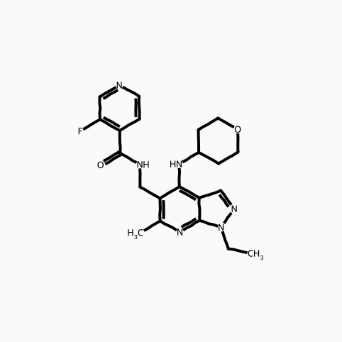 CCn1ncc2c(NC3CCOCC3)c(CNC(=O)c3ccncc3F)c(C)nc21